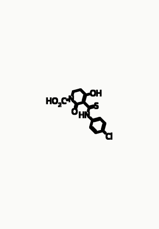 O=C(O)N1CCC(O)=C(C(=S)Nc2ccc(Cl)cc2)C1=O